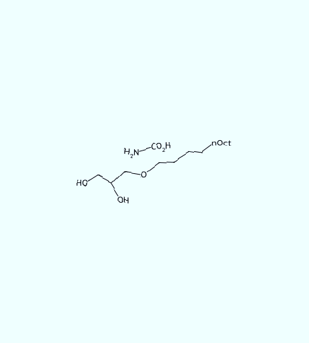 CCCCCCCCCCCCOCC(O)CO.NC(=O)O